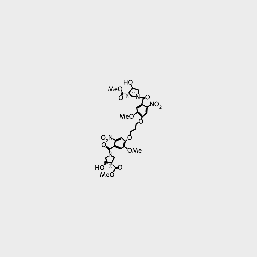 COC(=O)[C@H]1CN(C(=O)c2cc(OC)c(OCCCOc3cc([N+](=O)[O-])c(C(=O)N4C[C@H](C(=O)OC)[C@@H](O)C4)cc3OC)cc2[N+](=O)[O-])C[C@@H]1O